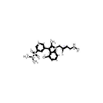 Cc1c(-c2cncc(S(=O)(=O)N(C)C)c2)c2c(Cl)cccc2n1C/C(F)=C/CNCl